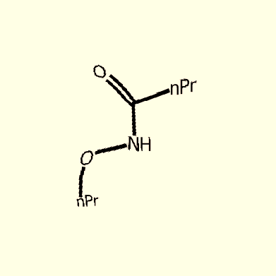 CCCONC(=O)CCC